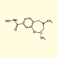 C[C@H]1CN(C)Cc2ccc(C(=O)NO)cc2O1